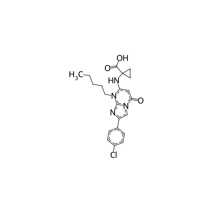 CCCCCn1c(NC2(C(=O)O)CC2)cc(=O)n2cc(-c3ccc(Cl)cc3)nc12